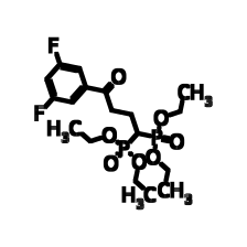 CCOP(=O)(OCC)C(CCC(=O)c1cc(F)cc(F)c1)P(=O)(OCC)OCC